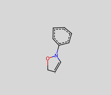 [C]1=CN(c2ccccc2)OC1